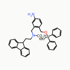 CC(C)(C)[Si](OCc1ccc(N)cc1CN(CCC1c2ccccc2-c2ccccc21)C(=O)O)(c1ccccc1)c1ccccc1